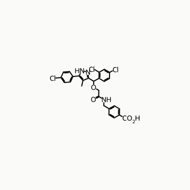 Cc1c(C(OCC(=O)NCc2ccc(C(=O)O)cc2)c2ccc(Cl)cc2Cl)n[nH]c1-c1ccc(Cl)cc1